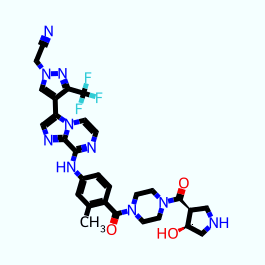 Cc1cc(Nc2nccn3c(-c4cn(CC#N)nc4C(F)(F)F)cnc23)ccc1C(=O)N1CCN(C(=O)[C@H]2CNC[C@H]2O)CC1